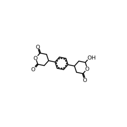 O=C1CC(c2ccc(C3CC(=O)OC(O)C3)cc2)CC(=O)O1